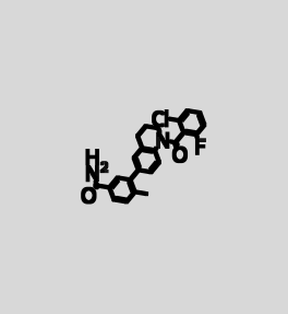 Cc1ccc(C(N)=O)cc1-c1ccc2c(c1)CCCN2C(=O)c1c(F)cccc1Cl